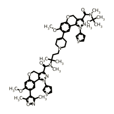 COc1cc2c(cc1C1=CCN(CCC(C)(C)N(C)C(=O)c3nn(-c4ccsc4)c4c3COc3cc(OC)c(-c5c(C)noc5C)cc3-4)CC1)-c1c(c(C(=O)N(C)C(C)(C)C)nn1-c1ccsc1)CO2